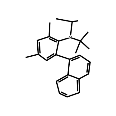 Cc1cc(C)c(N(C(C)C)C(C)(C)C)c(-c2cccc3ccccc23)c1